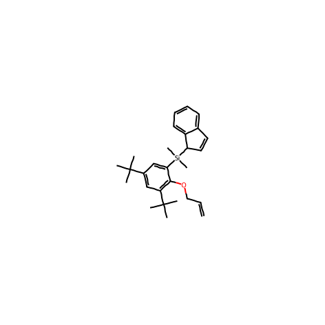 C=CCOc1c(C(C)(C)C)cc(C(C)(C)C)cc1[Si](C)(C)C1C=Cc2ccccc21